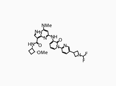 CNc1cc(Nc2cccn(-c3ccc(C4CN(C(F)F)C4)cn3)c2=O)nc2c(C(=O)N[C@@H]3CC[C@H]3OC)cnn12